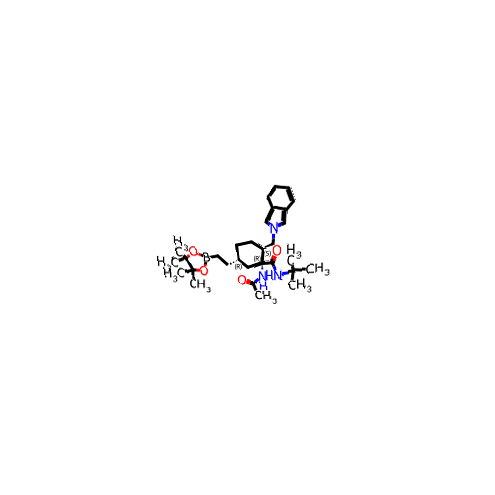 CC(=O)N[C@]1(C(=O)NC(C)(C)C)C[C@H](CCB2OC(C)(C)C(C)(C)O2)CC[C@H]1Cn1cc2ccccc2c1